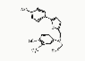 N#Cc1ccc(-c2ccc(CN(CC(F)(F)F)c3ccc(C#N)c(C(F)(F)F)c3)s2)cc1